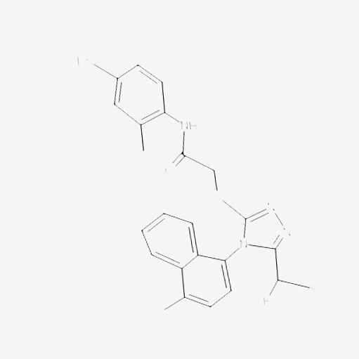 Cc1cc(S)ccc1NC(=O)CSc1nnc(C(F)F)n1-c1ccc(C)c2ccccc12